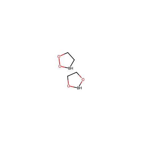 B1CCOO1.B1OCCO1